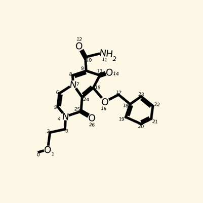 COCCn1ccn2cc(C(N)=O)c(=O)c(OCc3ccccc3)c2c1=O